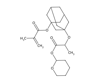 C=C(C)C(=O)OC12CC3CC(C1)CC(OC(C)C(=O)OC1CCCCO1)(C3)C2